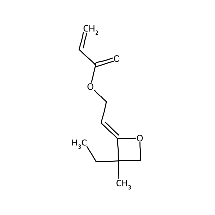 C=CC(=O)OCC=C1OCC1(C)CC